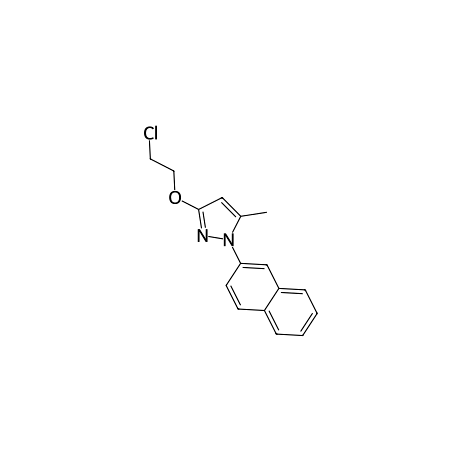 Cc1cc(OCCCl)nn1-c1ccc2ccccc2c1